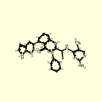 CC(Nc1nc(N)ncc1C#N)c1nc2cccc(-c3cnc4[nH]ccc4c3)c2c(=O)n1-c1ccccc1